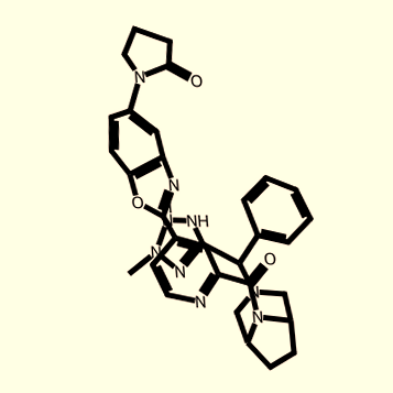 CN1N=C(C(c2ccccc2)N2CC3CCC(C2)N3C(=O)c2cc(-c3nc4cc(N5CCCC5=O)ccc4o3)ccn2)NN1